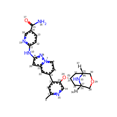 Cc1cc(-c2ccn3nc(Nc4ccc(C(N)=O)cn4)cc3c2)c(O[C@H]2C[C@H]3COC[C@@H](C2)N3)cn1